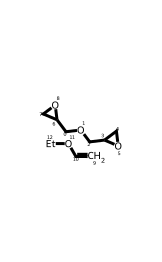 C(OCC1CO1)C1CO1.C=COCC